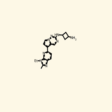 CCn1c(C)nc2ccc(-c3ccn4nc(NC5CC(N)C5)ncc34)nc21